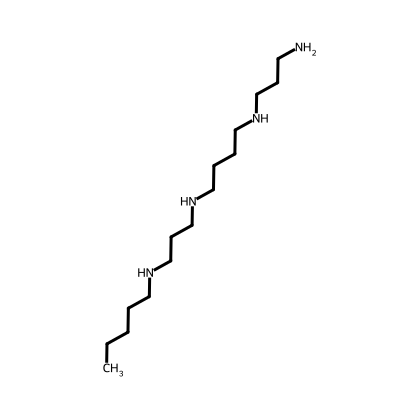 CCCCCNCCCNCCCCNCCCN